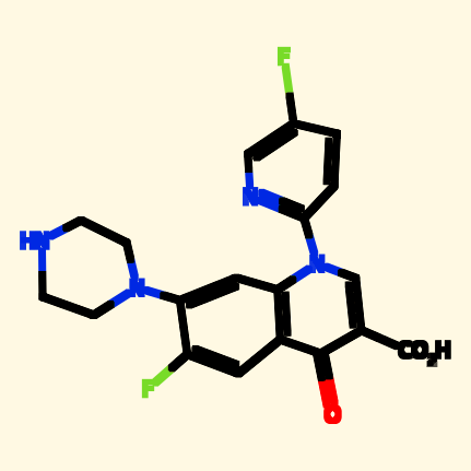 O=C(O)c1cn(-c2ccc(F)cn2)c2cc(N3CCNCC3)c(F)cc2c1=O